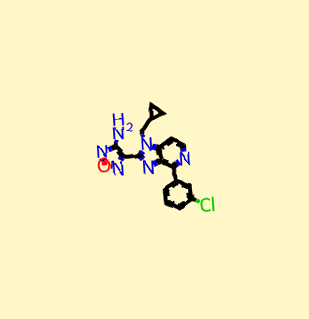 Nc1nonc1-c1nc2c(-c3cccc(Cl)c3)nccc2n1CC1CC1